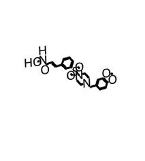 O=C(/C=C/c1cccc(S(=O)(=O)N2CCN(Cc3ccc4c(c3)OCO4)CC2)c1)NO